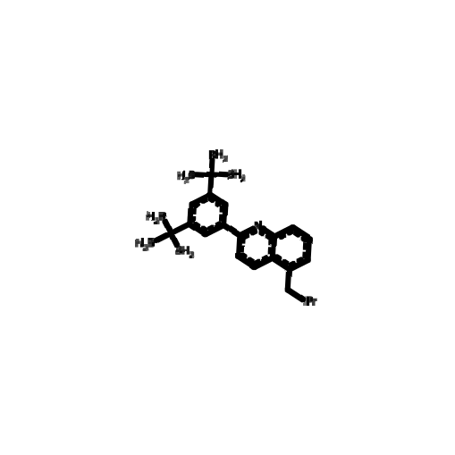 BC(B)(B)c1cc(-c2ccc3c(CC(C)C)cccc3n2)cc(C(B)(B)B)c1